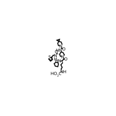 O=C(O)NCCCC[C@@H](NC1CCCCC1)C(=O)N1CC[C@@H](NC(=O)N2CCC3(CC2)CC3)[C@@H](C(=O)NCc2cccs2)C1